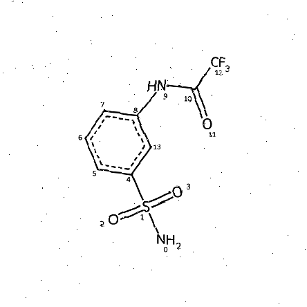 NS(=O)(=O)c1cccc(NC(=O)C(F)(F)F)c1